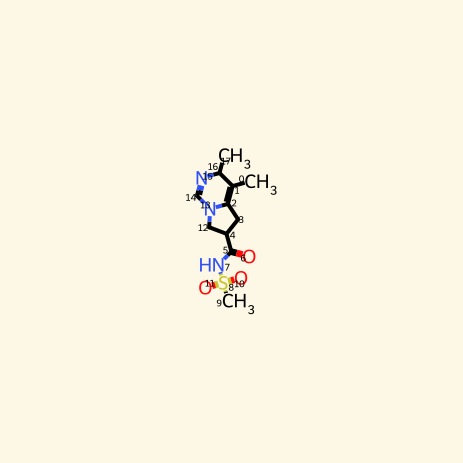 CC1=C2CC(C(=O)NS(C)(=O)=O)CN2C=NC1C